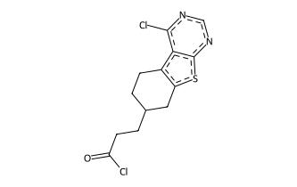 O=C(Cl)CCC1CCc2c(sc3ncnc(Cl)c23)C1